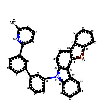 N#Cc1cccc(-c2cccc(-c3cccc(-n4c5ccccc5c5c6sc7ccccc7c6ccc54)c3)c2)n1